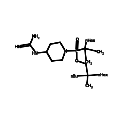 CCCCCCC(C)(CCCC)COP(=O)(N1CCC(NC(=N)N)CC1)C(C)(C)CCCCCC